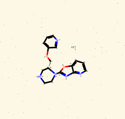 Cl.c1cncc(OC[C@H]2CNCCN2c2nc3ncccc3o2)c1